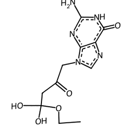 CCOC(O)(O)CC(=O)Cn1cnc2c(=O)[nH]c(N)nc21